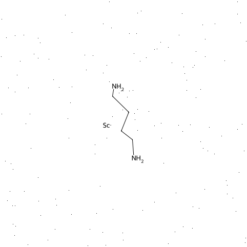 NCCCCN.[Sc]